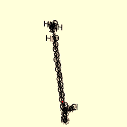 O=C(CCCC[C@@H]1SC[C@@H]2NC(=O)N[C@@H]21)NCCOCCOCCOCCOCCOCCOCCOCCOCCOCCOCCOCCOCCC(=O)O[C@H]1C[C@H](Cc2ccc(Cl)cc2)N(C2CCN(c3ccccn3)CC2)C1